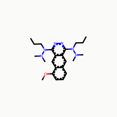 CCCN(c1nnc(N(CCC)N(C)C)c2cc3c(OC)cccc3cc12)N(C)C